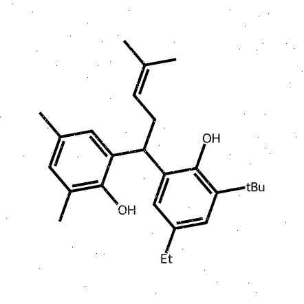 CCc1cc(C(CC=C(C)C)c2cc(C)cc(C)c2O)c(O)c(C(C)(C)C)c1